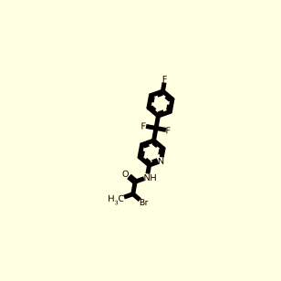 CC(Br)C(=O)Nc1ccc(C(F)(F)c2ccc(F)cc2)cn1